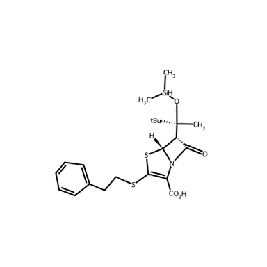 C[SiH](C)O[C@@](C)([C@@H]1C(=O)N2C(C(=O)O)=C(SCCc3ccccc3)S[C@H]12)C(C)(C)C